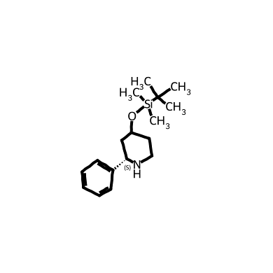 CC(C)(C)[Si](C)(C)OC1CCN[C@H](c2ccccc2)C1